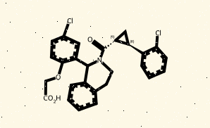 O=C(O)COc1ccc(Cl)cc1C1c2ccccc2CCN1C(=O)[C@@H]1C[C@H]1c1ccccc1Cl